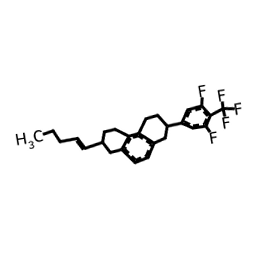 CCCC=CC1CCc2c(ccc3c2CCC(c2cc(F)c(C(F)(F)F)c(F)c2)C3)C1